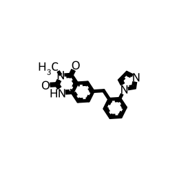 Cn1c(=O)[nH]c2ccc(Cc3ccccc3-n3ccnc3)cc2c1=O